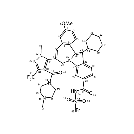 COc1ccc2c(c1)C=C(c1c(C(=O)N3CCN(C)CC3)c(C(F)(F)F)nn1C)Cn1c-2c(C2CCCCC2)c2ccc(C(=O)NS(=O)(=O)C(C)C)cc21